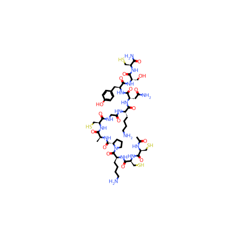 CC(=O)N[C@@H](CS)C(=O)N[C@@H](CS)C(=O)N[C@@H](CCCCN)C(=O)N1CCC[C@H]1C(=O)N[C@@H](C)C(=O)N[C@@H](CS)C(=O)NCC(=O)N[C@@H](CCCCN)C(=O)N[C@@H](CC(N)=O)C(=O)N[C@@H](Cc1ccc(O)cc1)C(=O)N[C@@H](CO)C(=O)N[C@@H](CS)C(N)=O